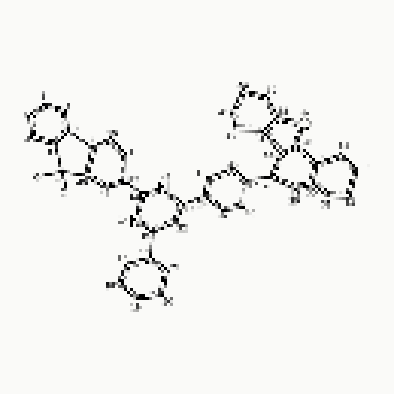 CC1(C)c2ccccc2-c2ccc(-c3nc(-c4ccccc4)cc(-c4ccc(-c5nc6ccccc6c6oc7ccccc7c56)cc4)n3)cc21